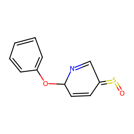 O=S=C1C=CC(Oc2ccccc2)N=C1